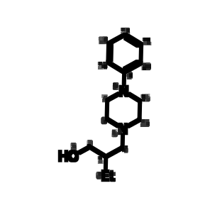 CCC(CO)CN1CCN(c2ccccc2)CC1